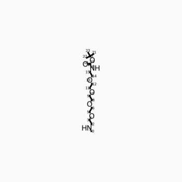 CNCCOCCOCCOCCOCCNC(=O)OC(C)(C)C